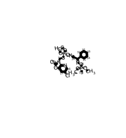 COP(=O)(OC)SCn1c(=O)oc2cc(Cl)cnc21.COP(=S)(OC)O/N=C(/C#N)c1ccccc1